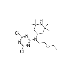 CCOCCN(c1nc(Cl)nc(Cl)n1)C1CC(C)(C)NC(C)(C)C1